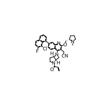 C=CC(=O)N1CC[C@@H]2[C@H]1CN2c1c(CC#N)c(OC[C@@H]2CCCN2C)nc2cc(-c3cccc4ccc(F)c(Cl)c34)ccc12